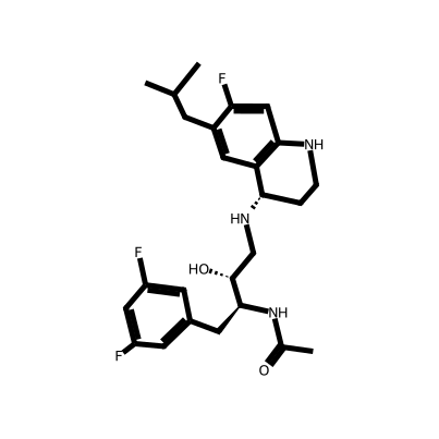 CC(=O)N[C@@H](Cc1cc(F)cc(F)c1)[C@H](O)CN[C@H]1CCNc2cc(F)c(CC(C)C)cc21